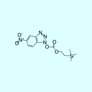 C[Si](C)(C)CCOC(=O)On1nnc2cc([N+](=O)[O-])ccc21